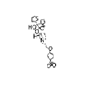 O=C(O[C@H]1C[N+]2(CCCOc3ccc([N+](=O)[O-])cc3)CCC1CC2)C(O)(c1cccs1)c1cccs1